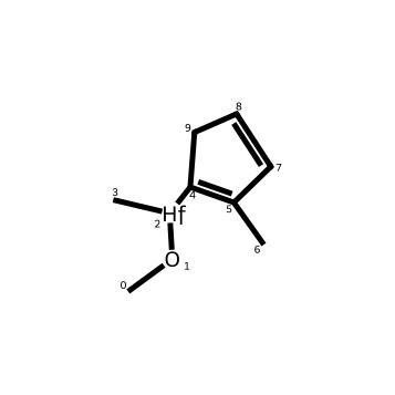 C[O][Hf]([CH3])[C]1=C(C)C=CC1